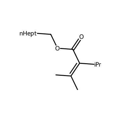 CCCCCCCCOC(=O)C(=C(C)C)C(C)C